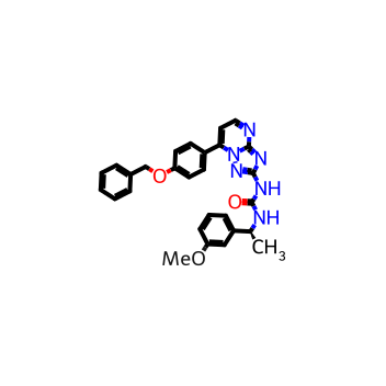 COc1cccc([C@H](C)NC(=O)Nc2nc3nccc(-c4ccc(OCc5ccccc5)cc4)n3n2)c1